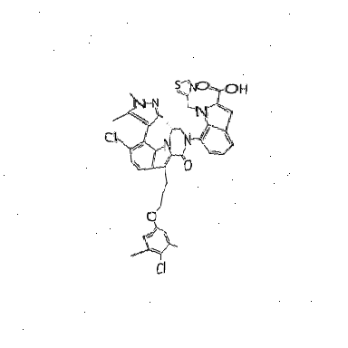 Cc1cc(OCCCc2c3n(c4c(-c5c(C)nn(C)c5C)c(Cl)ccc24)[C@H](C)CN(c2cccc4cc(C(=O)O)n(Cc5cscn5)c24)C3=O)cc(C)c1Cl